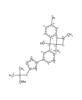 COC(C)(C)Cc1nc(-c2cncc(C(O)(c3ccc(C(C)C)cc3)C3(C)CN(C)C3)c2)no1